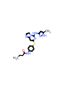 CCCC(=O)Nc1ccc(Sc2cc3nccn3c(Nc3cc(C)[nH]n3)n2)cc1